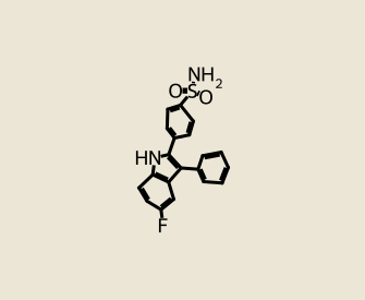 NS(=O)(=O)c1ccc(-c2[nH]c3ccc(F)cc3c2-c2ccccc2)cc1